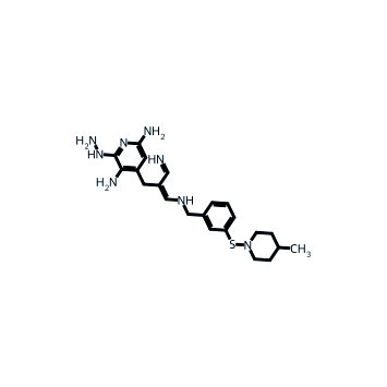 CC1CCN(Sc2cccc(CN/C=C(\C=N)Cc3cc(N)nc(NN)c3N)c2)CC1